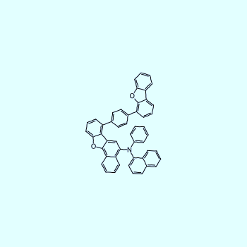 c1ccc(N(c2cccc3ccccc23)c2cc3c(oc4cccc(-c5ccc(-c6cccc7c6oc6ccccc67)cc5)c43)c3ccccc23)cc1